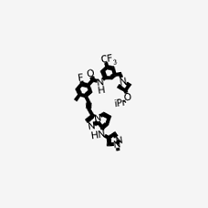 Cc1cc(F)c(C(=O)Nc2cc(CN3CC(OC(C)C)C3)cc(C(F)(F)F)c2)cc1C#Cc1cnc2c(Nc3cnn(C)c3)cccn12